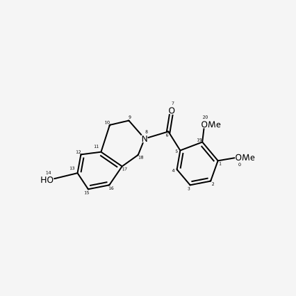 COc1cccc(C(=O)N2CCc3cc(O)ccc3C2)c1OC